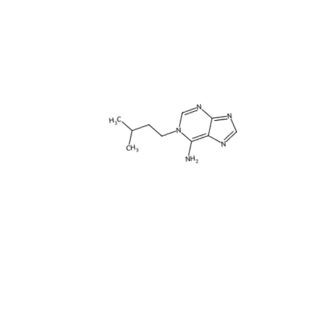 CC(C)CCn1cnc2ncnc-2c1N